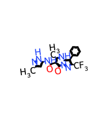 Cc1cc(NC(=O)c2c(C)[nH]c3c(-c4ccccc4)c(C(F)(F)F)nn3c2=O)[nH]n1